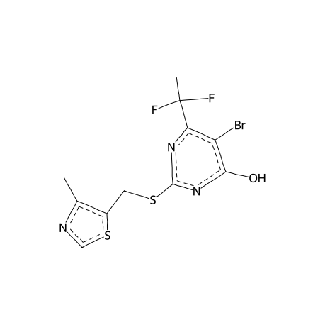 Cc1ncsc1CSc1nc(O)c(Br)c(C(C)(F)F)n1